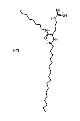 CCCCCCCCCCCCCCCCCC(=O)NC(CCCNC(=N)N)C(=O)NCCCCCCCC.Cl